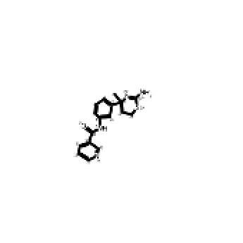 CC1(c2cccc(NC(=O)c3cccnc3)c2)CCSC(N)=N1